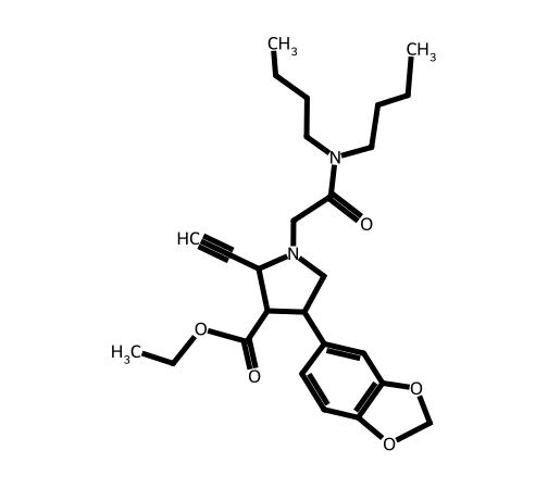 C#CC1C(C(=O)OCC)C(c2ccc3c(c2)OCO3)CN1CC(=O)N(CCCC)CCCC